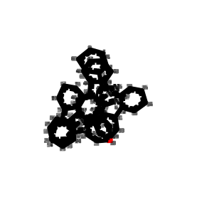 c1ccc(-c2nnc(-c3ccccc3)n2-c2cccc3c4ccccc4n(-c4cccc(-c5ccccc5-n5c6ccccc6c6cc7c(cc65)oc5ccccc57)c4)c23)cc1